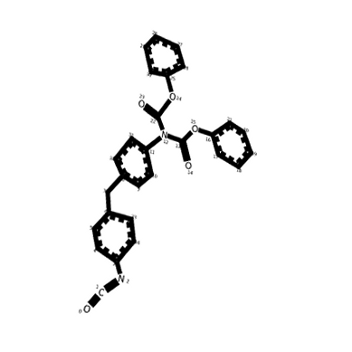 O=C=Nc1ccc(Cc2ccc(N(C(=O)Oc3ccccc3)C(=O)Oc3ccccc3)cc2)cc1